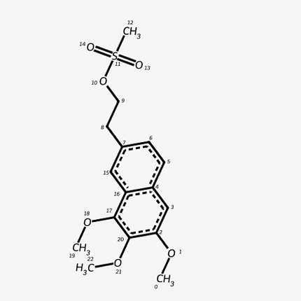 COc1cc2ccc(CCOS(C)(=O)=O)cc2c(OC)c1OC